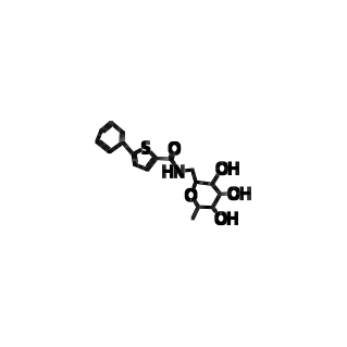 CC1OC(CNC(=O)c2ccc(-c3ccccc3)s2)C(O)C(O)C1O